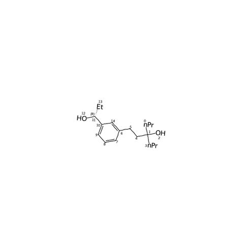 CCCC(O)(CCC)CCc1cccc([C@H](O)CC)c1